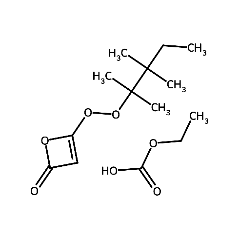 CCC(C)(C)C(C)(C)OOC1=CC(=O)O1.CCOC(=O)O